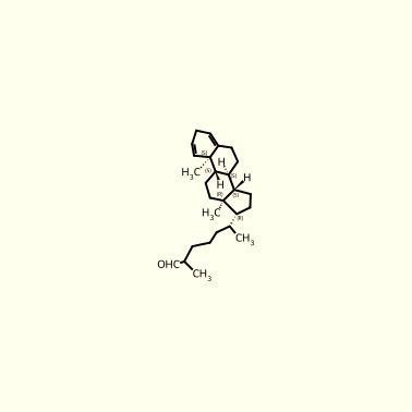 CC(C=O)CCCC(C)[C@H]1CC[C@H]2[C@@H]3CCC4=CCC=C[C@]4(C)[C@H]3CC[C@]12C